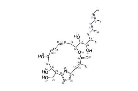 C/C=C(C)/C=C(\C)CC(C)C(O)C(O)C1C/C=C\C=C\C(O)CC(O)C(CO)c2nc(cs2)/C=C(\C)C(=O)O1